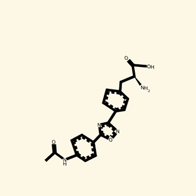 CC(=O)Nc1ccc(-c2nc(-c3ccc(C[C@H](N)C(=O)O)cc3)no2)cc1